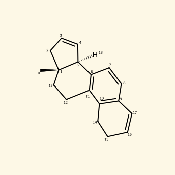 C[C@@]12CC=C[C@H]1c1ccc3c(c1CC2)CCC=C3